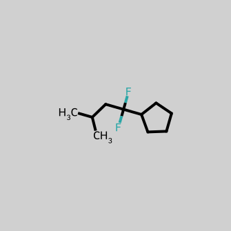 CC(C)CC(F)(F)C1CCCC1